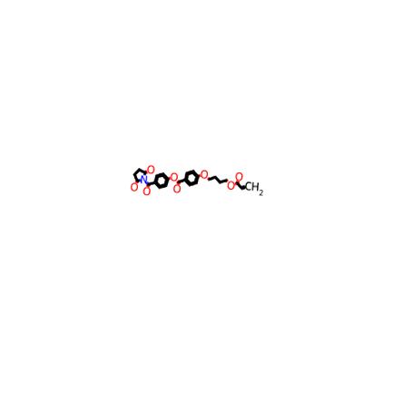 C=CC(=O)OCCCCOc1ccc(C(=O)Oc2ccc(C(=O)N3C(=O)CCC3=O)cc2)cc1